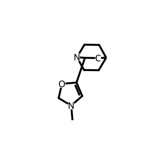 CN1C=C(C2CC3CCN2CC3)OC1